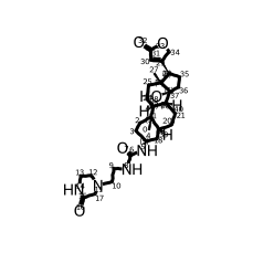 C[C@]12CC[C@H](NC(=O)NCCN3CCNC(=O)C3)C[C@H]1CC[C@@H]1[C@@H]2CC[C@]2(C)[C@@H](C3=CC(=O)OC3)CC[C@]12O